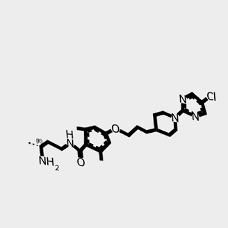 Cc1cc(OCCCC2CCN(c3ncc(Cl)cn3)CC2)cc(C)c1C(=O)NCC[C@@H](C)N